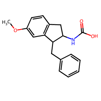 COc1ccc2c(c1)C(Cc1ccccc1)C(NC(=O)O)C2